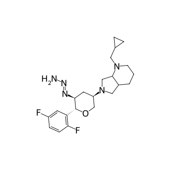 NN=N[C@H]1C[C@@H](N2CC3CCCN(CC4CC4)C3C2)CO[C@@H]1c1cc(F)ccc1F